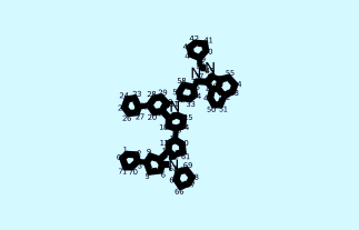 c1ccc(-c2ccc3c(c2)c2cc(-c4ccc5c(c4)c4cc(-c6ccccc6)ccc4n5-c4ccc(-c5nc(-c6ccccc6)nc6c5-c5cccc7cccc-6c57)cc4)ccc2n3-c2ccccc2)cc1